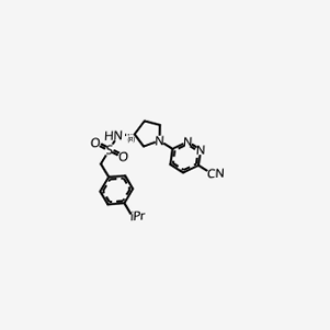 CC(C)c1ccc(CS(=O)(=O)N[C@@H]2CCN(c3ccc(C#N)nn3)C2)cc1